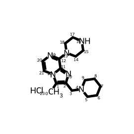 Cc1c(CN2CCCCC2)nc2c(N3CCNCC3)nccn12.Cl